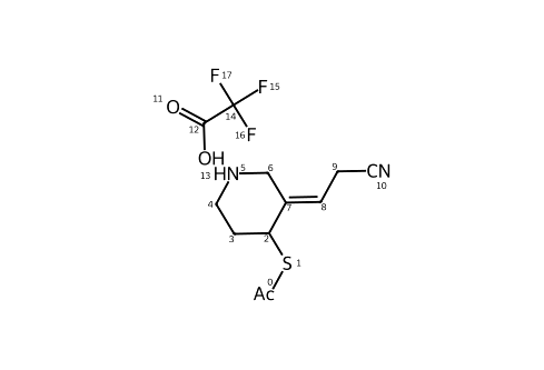 CC(=O)SC1CCNCC1=CCC#N.O=C(O)C(F)(F)F